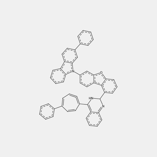 C1=CC=C(c2ccccc2)C=CC=1C1=c2ccccc2=NC(c2cccc3oc4cc(-n5c6ccccc6c6ccc(-c7ccccc7)cc65)ccc4c23)N1